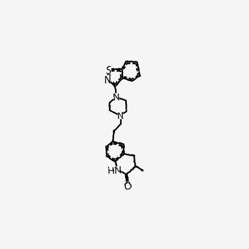 CC1Cc2cc(CCN3CCN(c4nsc5ccccc45)CC3)ccc2NC1=O